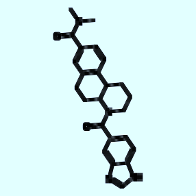 CN(C)C(=O)c1ccc2c(c1)CCC1C2CCCN1C(=O)c1ccc2[nH]cnc2c1